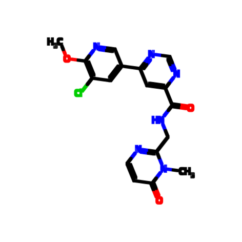 COc1ncc(-c2cc(C(=O)NCc3nccc(=O)n3C)ncn2)cc1Cl